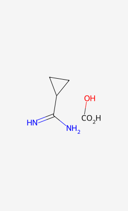 N=C(N)C1CC1.O=C(O)O